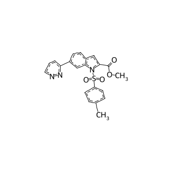 COC(=O)c1cc2ccc(-c3cccnn3)cc2n1S(=O)(=O)c1ccc(C)cc1